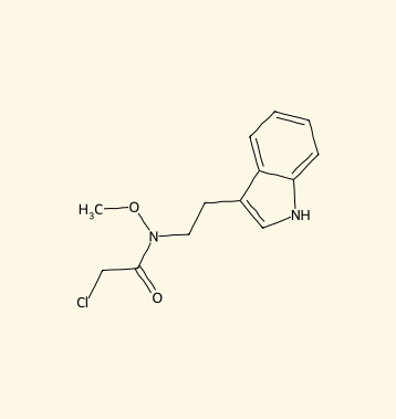 CON(CCc1c[nH]c2ccccc12)C(=O)CCl